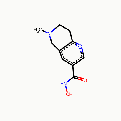 CN1CCc2ncc(C(=O)NO)cc2C1